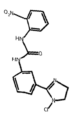 O=C(Nc1cccc(C2=NCCN2Cl)c1)Nc1ccccc1[N+](=O)[O-]